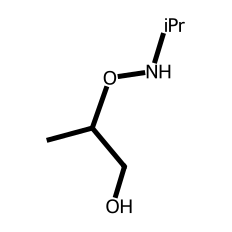 CC(C)NOC(C)CO